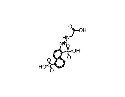 O=C(O)CNN=Nc1ccc2c(S(=O)(=O)O)cccc2c1S(=O)(=O)O